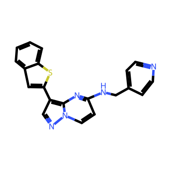 c1ccc2sc(-c3cnn4ccc(NCc5ccncc5)nc34)cc2c1